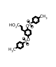 Cc1ccc(S(=O)(=O)Oc2ccc(OS(=O)(=O)c3ccc(C)cc3)c(/C=C/C(=O)O)c2)cc1